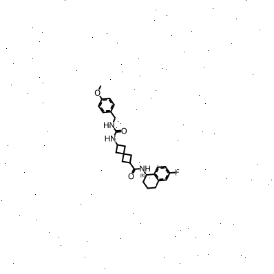 COc1ccc(CNC(=O)NC2CC3(C2)CC(C(=O)N[C@@H]2CCCc4cc(F)ccc42)C3)cc1